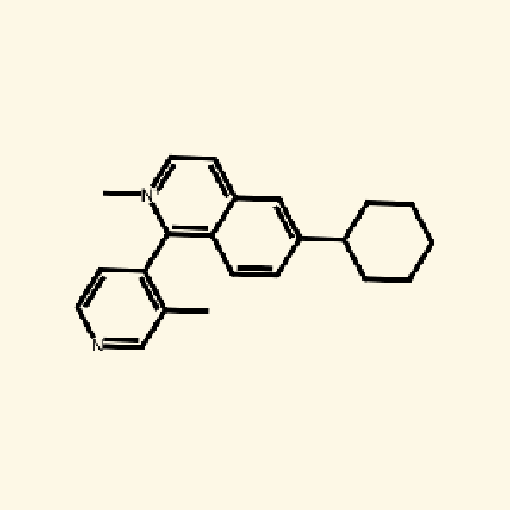 Cc1cnccc1-c1c2ccc(C3CCCCC3)cc2cc[n+]1C